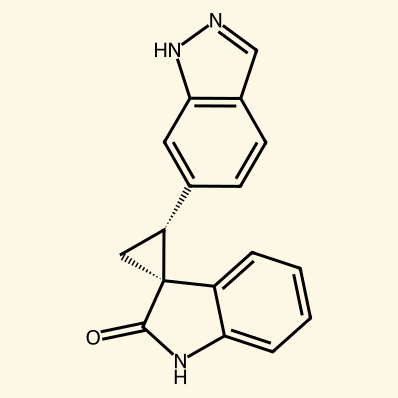 O=C1Nc2ccccc2[C@@]12C[C@@H]2c1ccc2cn[nH]c2c1